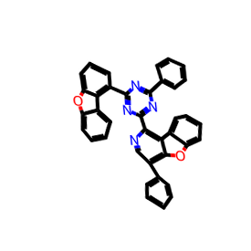 c1ccc(-c2nc(-c3cccc4oc5ccccc5c34)nc(-c3ncc(-c4ccccc4)c4oc5ccccc5c34)n2)cc1